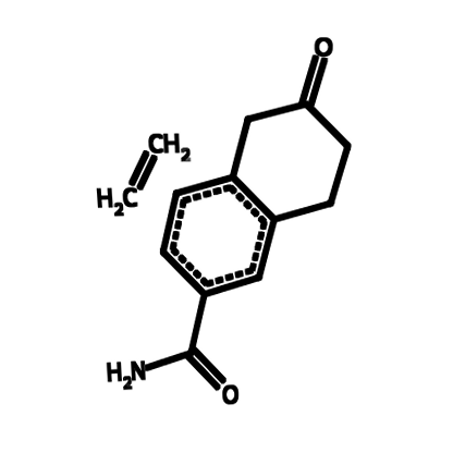 C=C.NC(=O)c1ccc2c(c1)CCC(=O)C2